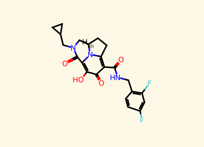 O=C(NCc1ccc(F)cc1F)c1c2n3c(c(O)c1=O)C(=O)N(CC1CC1)C[C@@H]3CC2